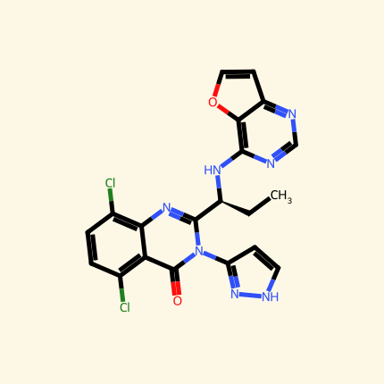 CC[C@H](Nc1ncnc2ccoc12)c1nc2c(Cl)ccc(Cl)c2c(=O)n1-c1cc[nH]n1